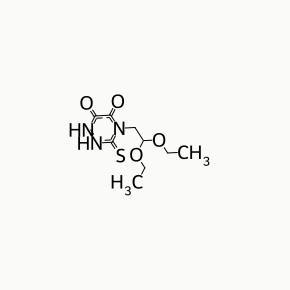 CCOC(Cn1c(=S)[nH][nH]c(=O)c1=O)OCC